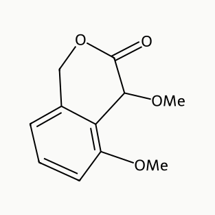 COc1cccc2c1C(OC)C(=O)OC2